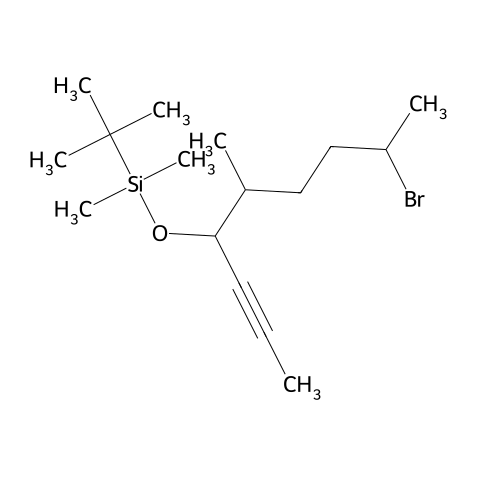 CC#CC(O[Si](C)(C)C(C)(C)C)C(C)CCC(C)Br